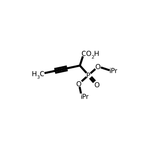 CC#CC(C(=O)O)P(=O)(OC(C)C)OC(C)C